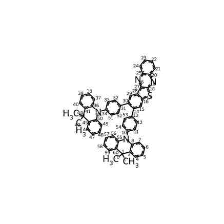 CC1(C)c2ccccc2N(c2ccc(-c3cc4sc5nc6ccccc6nc5c4cc3-c3ccc(N4c5ccccc5C(C)(C)c5ccccc54)cc3)cc2)c2ccccc21